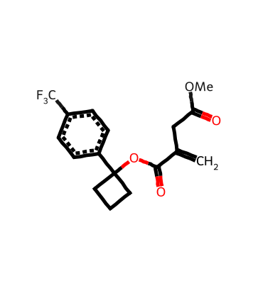 C=C(CC(=O)OC)C(=O)OC1(c2ccc(C(F)(F)F)cc2)CCC1